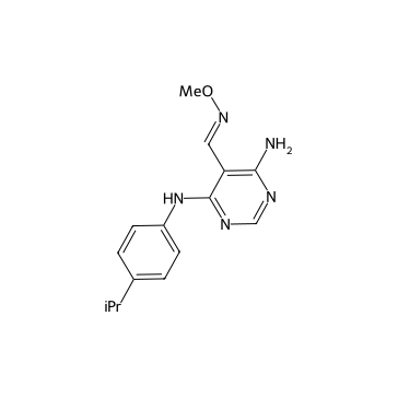 CON=Cc1c(N)ncnc1Nc1ccc(C(C)C)cc1